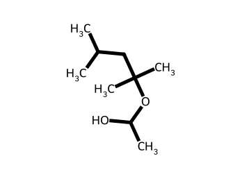 CC(C)CC(C)(C)OC(C)O